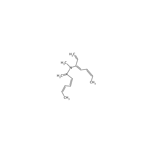 C=C/C(=C\C=C/C)N(C)C(=C)/C=C\C=C/C